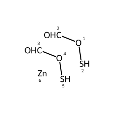 O=COS.O=COS.[Zn]